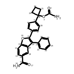 NC(=O)OC1(c2ccc(-c3oc4ccc(C(N)=O)cc4c3-c3ccccc3)cc2)CCC1